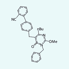 CCCCc1nc(OC)n(Cc2ccccc2)c(=O)c1Cc1ccc(-c2ccccc2C#N)cc1